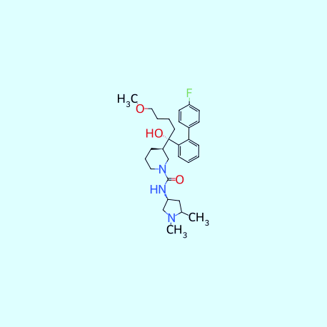 COCCCC[C@@](O)(c1ccccc1-c1ccc(F)cc1)[C@@H]1CCCN(C(=O)N[C@H]2CC(C)N(C)C2)C1